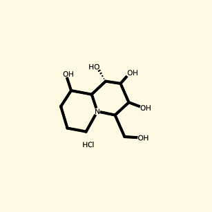 Cl.OCC1C(O)C(O)[C@@H](O)C2C(O)CCCN12